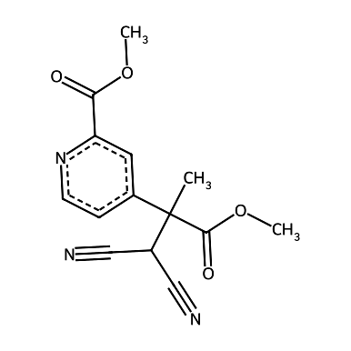 COC(=O)c1cc(C(C)(C(=O)OC)C(C#N)C#N)ccn1